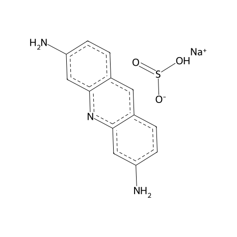 Nc1ccc2cc3ccc(N)cc3nc2c1.O=S([O-])O.[Na+]